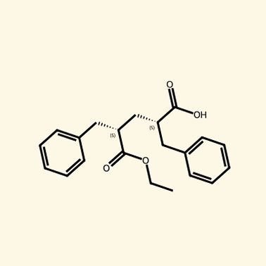 CCOC(=O)[C@H](Cc1ccccc1)C[C@@H](Cc1ccccc1)C(=O)O